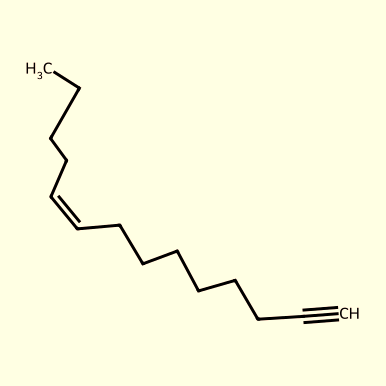 C#CCCCCCC/C=C\CCCC